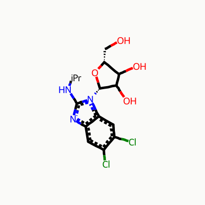 CC(C)Nc1nc2cc(Cl)c(Cl)cc2n1[C@@H]1O[C@H](CO)C(O)C1O